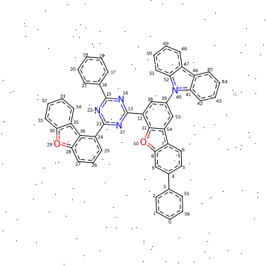 c1ccc(-c2ccc3c(c2)oc2c(-c4nc(-c5ccccc5)nc(-c5cccc6oc7ccccc7c56)n4)cc(-n4c5ccccc5c5ccccc54)cc23)cc1